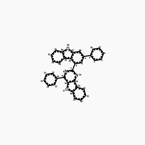 c1ccc(-c2cc(-c3nc(-c4ccccc4)c4oc5ccccc5c4n3)c3c(c2)oc2ccccc23)cc1